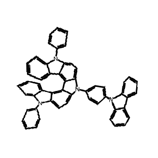 c1ccc(-n2c3ccccc3c3c4c5c6c7ccccc7n(-c7ccccc7)c6ccc5n(-c5ccc(-n6c7ccccc7c7ccccc76)cc5)c4ccc32)cc1